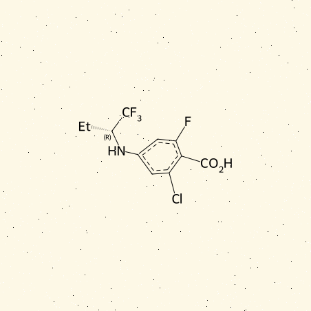 CC[C@@H](Nc1cc(F)c(C(=O)O)c(Cl)c1)C(F)(F)F